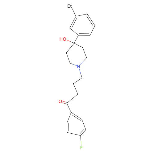 CCc1cccc(C2(O)CCN(CCCC(=O)c3ccc(F)cc3)CC2)c1